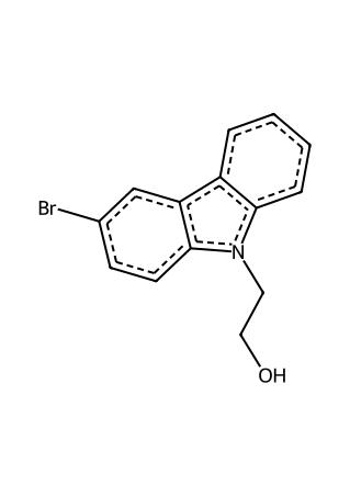 OCCn1c2ccccc2c2cc(Br)ccc21